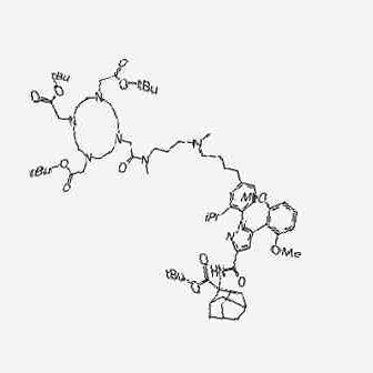 COc1cccc(OC)c1-c1cc(C(=O)NC2(C(=O)OC(C)(C)C)C3CC4CC(C3)CC2C4)nn1-c1ccc(CCCCN(C)CCCN(C)C(=O)CN2CCN(CC(=O)OC(C)(C)C)CCN(CC(=O)OC(C)(C)C)CCN(CC(=O)OC(C)(C)C)CC2)cc1C(C)C